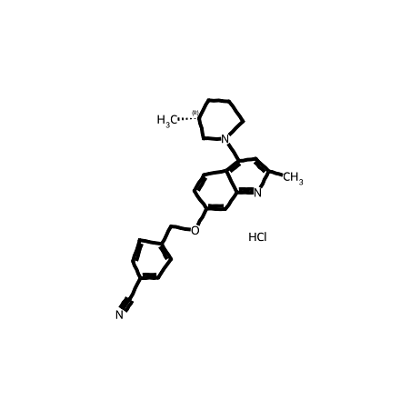 Cc1cc(N2CCC[C@@H](C)C2)c2ccc(OCc3ccc(C#N)cc3)cc2n1.Cl